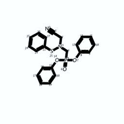 N#CCN(CP(=O)(Oc1ccccc1)Oc1ccccc1)Sc1ccccc1